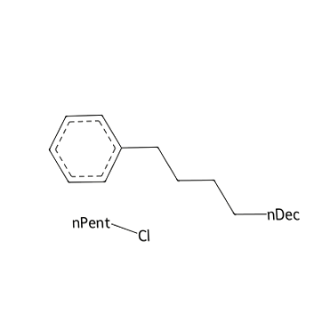 CCCCCCCCCCCCCCc1ccccc1.CCCCCCl